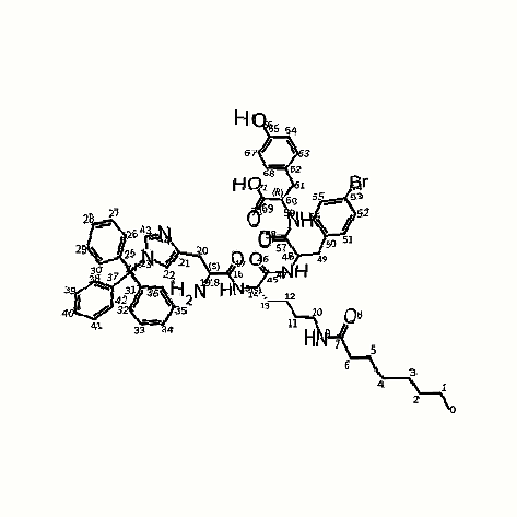 CCCCCCCC(=O)NCCCC[C@H](NC(=O)[C@@H](N)Cc1cn(C(c2ccccc2)(c2ccccc2)c2ccccc2)cn1)C(=O)NC(Cc1ccc(Br)cc1)C(=O)N[C@H](Cc1ccc(O)cc1)C(=O)O